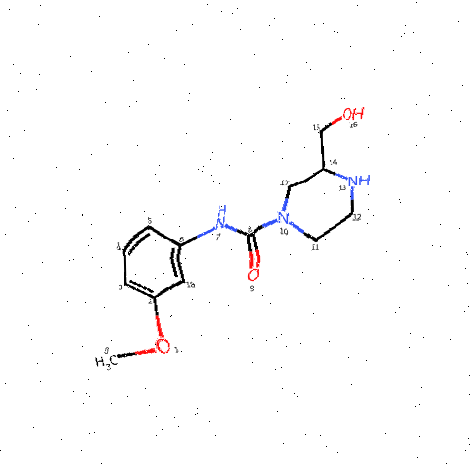 COc1cccc(NC(=O)N2CCNC(CO)C2)c1